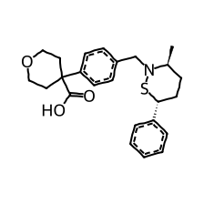 C[C@H]1CC[C@H](c2ccccc2)SN1Cc1ccc(C2(C(=O)O)CCOCC2)cc1